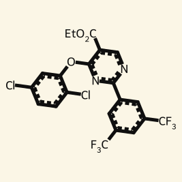 CCOC(=O)c1cnc(-c2cc(C(F)(F)F)cc(C(F)(F)F)c2)nc1Oc1cc(Cl)ccc1Cl